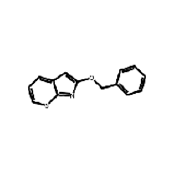 c1ccc(COc2cc3cccsc-3n2)cc1